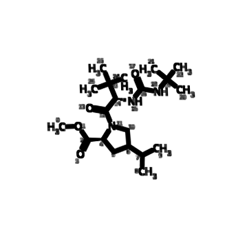 COC(=O)[C@@H]1CC(C(C)C)CN1C(=O)[C@@H](NC(=O)NC(C)(C)C)C(C)(C)C